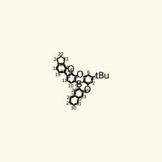 CC(C)(C)c1cc2c3c(c1)Oc1c(ccc4c1oc1c5c(ccc14)CCC5)B3c1cc3ccccc3cc1O2